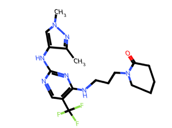 Cc1nn(C)cc1Nc1ncc(C(F)(F)F)c(NCCCN2CCCCC2=O)n1